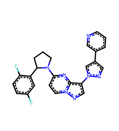 Fc1ccc(F)c(C2CCCN2c2ccn3ncc(-n4cc(-c5cccnc5)cn4)c3n2)c1